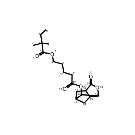 CCC(C)(C)C(=O)OCCCCC(=O)OC1C2CC3C(=O)OC1C3C2